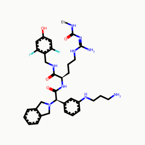 CCNC(=O)/N=C(/N)NCCC[C@@H](NC(=O)[C@@H](c1cccc(NCCCN)c1)N1Cc2ccccc2C1)C(=O)NCc1c(F)cc(O)cc1F